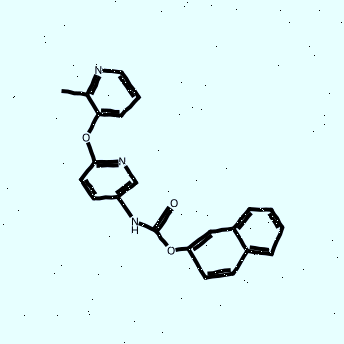 Cc1ncccc1Oc1ccc(NC(=O)Oc2ccc3ccccc3c2)cn1